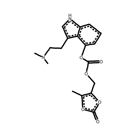 Cc1oc(=O)oc1COC(=O)Oc1cccc2[nH]cc(CCN(C)C)c12